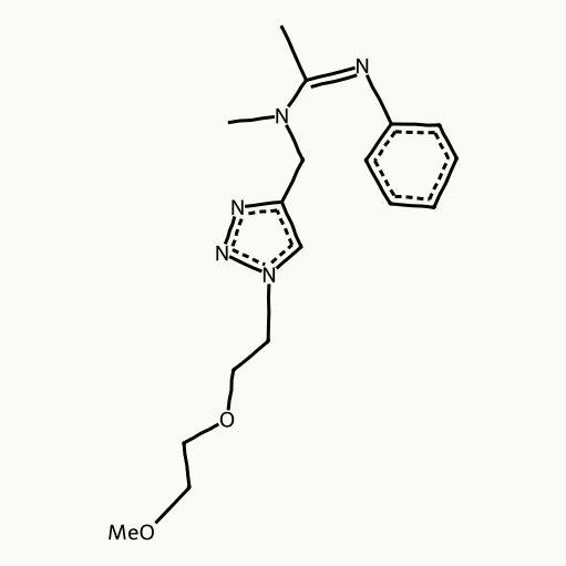 COCCOCCn1cc(CN(C)/C(C)=N\c2ccccc2)nn1